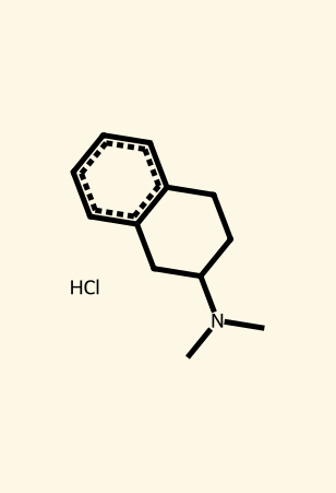 CN(C)C1CCc2ccccc2C1.Cl